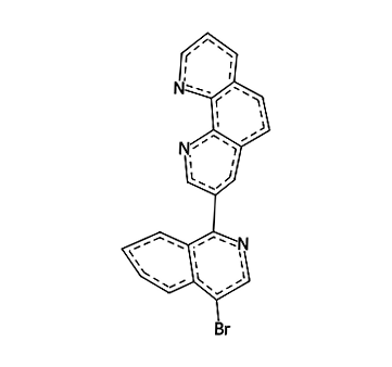 Brc1cnc(-c2cnc3c(ccc4cccnc43)c2)c2ccccc12